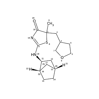 CC1(CC2CCOC2)SC(N[C@H]2C[C@@H]3CC[C@H]2C3)=NC1=O